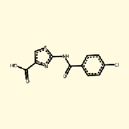 O=C(Nc1nc(C(=O)O)cs1)c1ccc(Cl)cc1